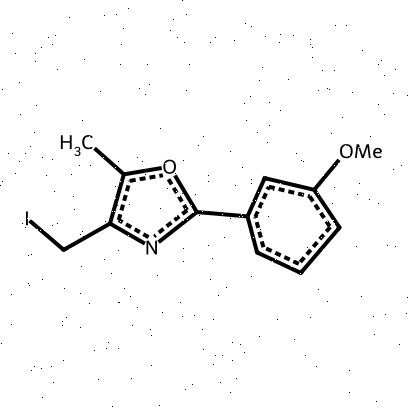 COc1cccc(-c2nc(CI)c(C)o2)c1